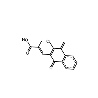 C=C1C(Cl)=C(/C=C(\C)C(=O)O)C(=O)c2ccccc21